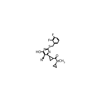 CN(C(=O)C1CC1c1nc(SCc2cccc(F)c2F)nc(O)c1C#N)C1CC1